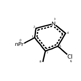 CCCc1cncc(Cl)c1C